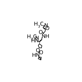 C=NN/C(=C\CNC(=O)Cc1cc(C)no1)[C@H]1CCC(OC(=O)NC23CC(C2)C3)C1